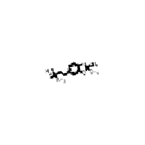 BC(B)(C)CCc1ccc2c(c1)OC(B)(B)O2